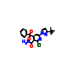 C[Si](C)(C)c1ccn(-c2cc(S(=O)(=O)c3ccccc3)c(C(N)=O)c(Cl)n2)n1